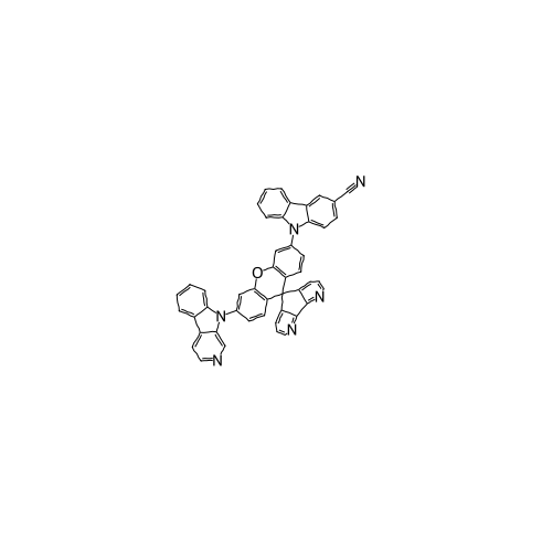 N#Cc1ccc2c(c1)c1ccccc1n2-c1ccc2c(c1)Oc1cc(-n3c4ccccc4c4ccncc43)ccc1C21c2cccnc2-c2ncccc21